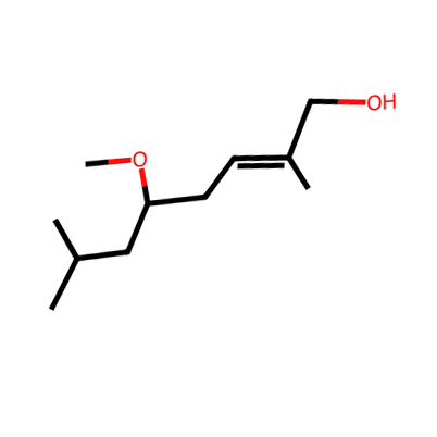 COC(C/C=C(\C)CO)CC(C)C